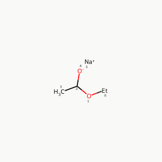 CCOC(C)[O-].[Na+]